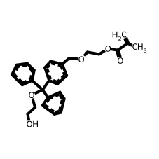 C=C(C)C(=O)OCCOCc1ccc(C(OCCO)(c2ccccc2)c2ccccc2)cc1